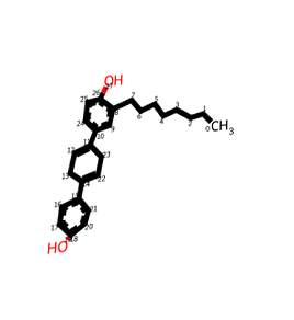 CCCCCCCCc1cc(C2=CCC(c3ccc(O)cc3)=CC2)ccc1O